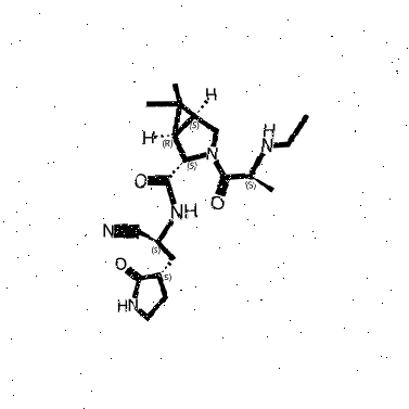 CCN[C@@H](C)C(=O)N1C[C@H]2[C@@H]([C@H]1C(=O)N[C@H](C#N)C[C@@H]1CCNC1=O)C2(C)C